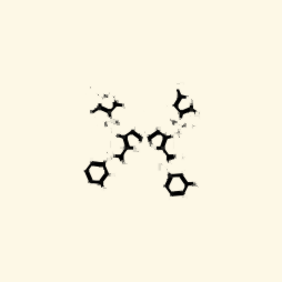 Cc1nn(C)c(Cl)c1S(=O)(=O)Nc1ccsc1C(=O)Nc1cccc(Cl)c1.O=C(Nc1cccc(Cl)c1)c1sccc1NS(=O)(=O)c1cc(Cl)sc1Cl